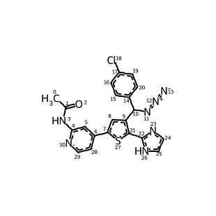 CC(=O)Nc1cc(-c2cc(C(N=[N+]=[N-])c3ccc(Cl)cc3)c(-c3ncc[nH]3)s2)ccn1